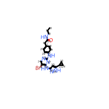 CCCNC(=O)Cc1ccc(Nc2ncc(Br)c(Nc3cc(C4CC4)[nH]n3)n2)cc1